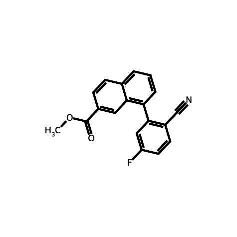 COC(=O)c1ccc2cccc(-c3cc(F)ccc3C#N)c2c1